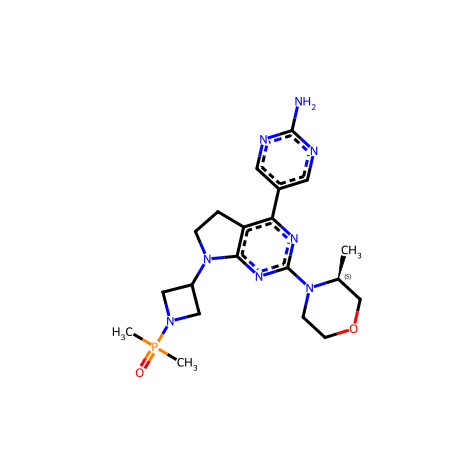 C[C@H]1COCCN1c1nc(-c2cnc(N)nc2)c2c(n1)N(C1CN(P(C)(C)=O)C1)CC2